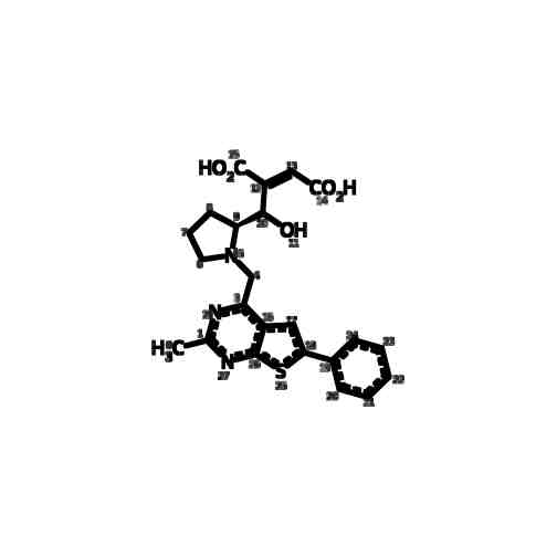 Cc1nc(CN2CCC[C@H]2C(O)/C(=C\C(=O)O)C(=O)O)c2cc(-c3ccccc3)sc2n1